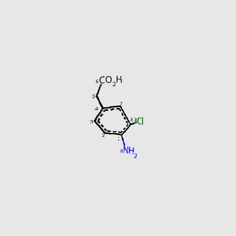 Nc1ccc(CC(=O)O)cc1Cl